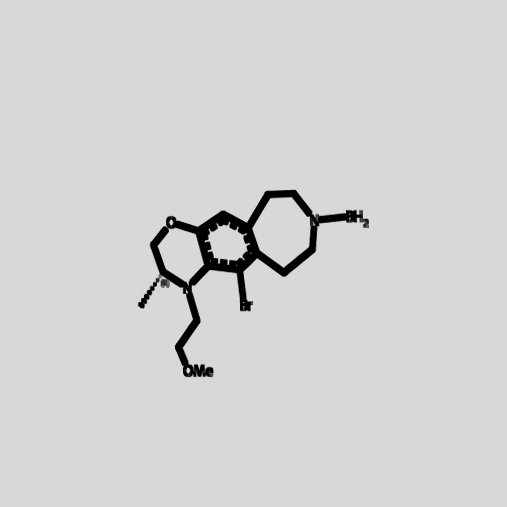 BN1CCc2cc3c(c(Br)c2CC1)N(CCOC)[C@H](C)CO3